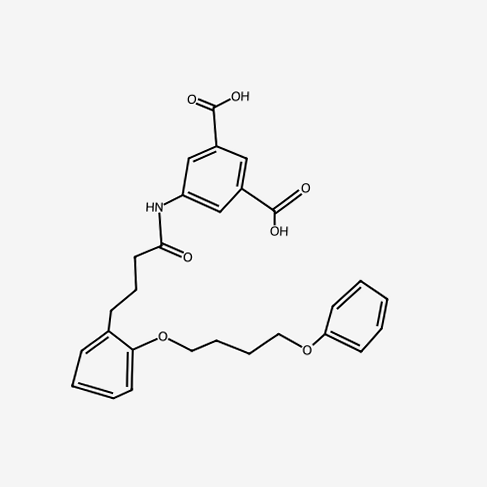 O=C(CCCc1ccccc1OCCCCOc1ccccc1)Nc1cc(C(=O)O)cc(C(=O)O)c1